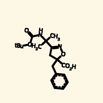 CC(C)(C)OC(=O)NC(C)(C)C1=NOC(Cc2ccccc2)(C(=O)O)C1